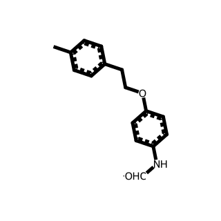 Cc1ccc(CCOc2ccc(N[C]=O)cc2)cc1